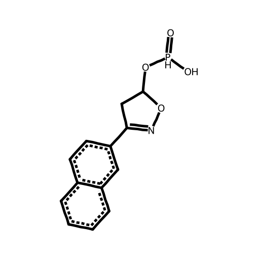 O=[PH](O)OC1CC(c2ccc3ccccc3c2)=NO1